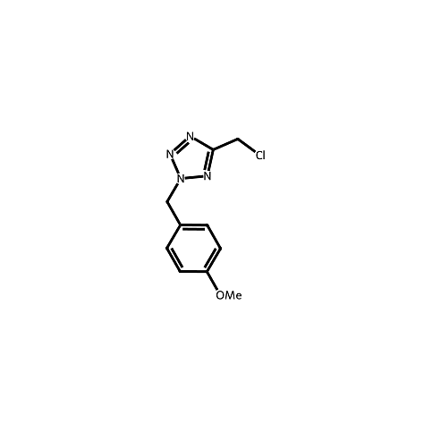 COc1ccc(Cn2nnc(CCl)n2)cc1